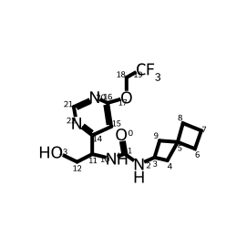 O=C(NC1CC2(CCC2)C1)NC(CO)c1cc(OCC(F)(F)F)ncn1